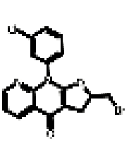 O=c1c2c(n(-c3cccc(Cl)c3)c3ncccc13)OC(CBr)C2